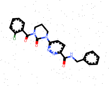 O=C(NCc1ccccc1)c1ccc(N2CCCN(C(=O)c3ccccc3Cl)C2=O)nn1